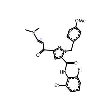 CCc1cccc(CC)c1NC(=O)c1cc(C(=O)/C=C/N(C)C)nn1Cc1ccc(OC)cc1